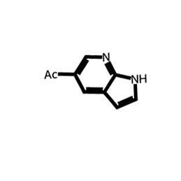 CC(=O)c1cnc2[nH]ccc2c1